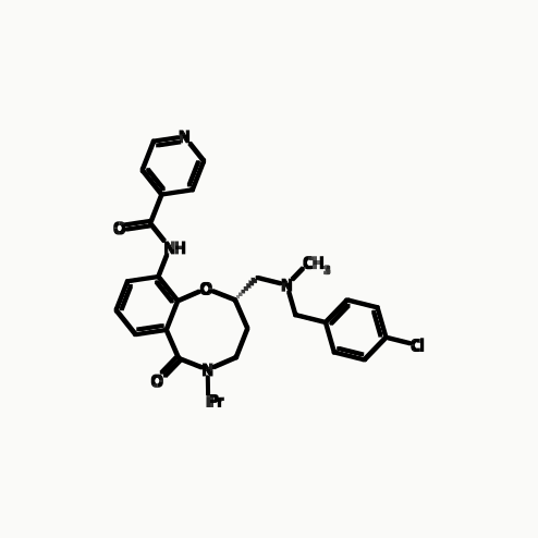 CC(C)N1CC[C@@H](CN(C)Cc2ccc(Cl)cc2)Oc2c(NC(=O)c3ccncc3)cccc2C1=O